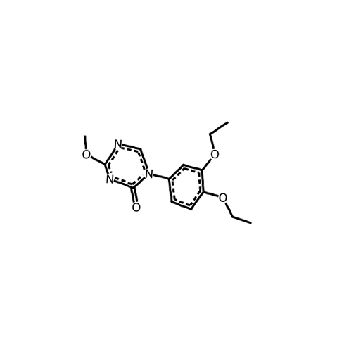 CCOc1ccc(-n2cnc(OC)nc2=O)cc1OCC